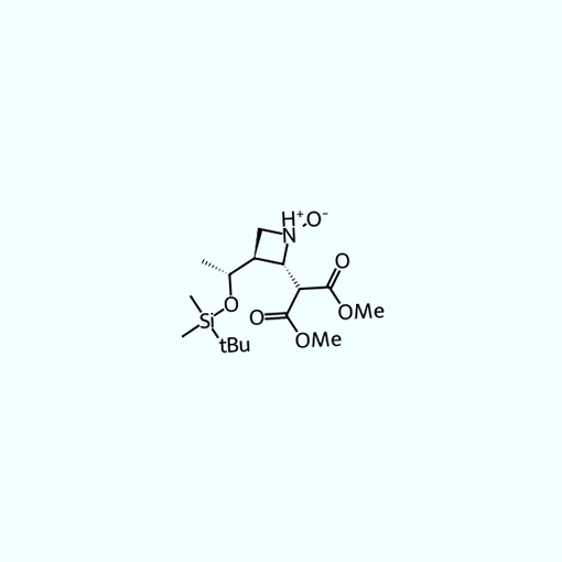 COC(=O)C(C(=O)OC)[C@@H]1[C@@H]([C@@H](C)O[Si](C)(C)C(C)(C)C)C[NH+]1[O-]